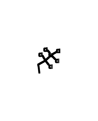 CCC(Cl)(Cl)[Si](Cl)(Cl)Cl